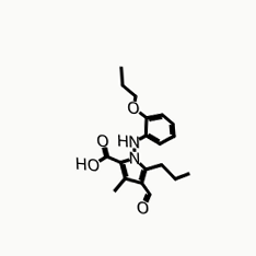 CCCOc1ccccc1Nn1c(CCC)c(C=O)c(C)c1C(=O)O